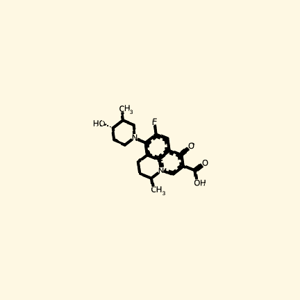 CC1CN(c2c(F)cc3c(=O)c(C(=O)O)cn4c3c2CCC4C)CC[C@@H]1O